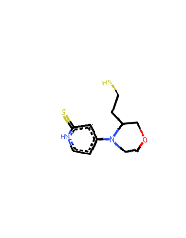 S=c1[c]c(N2CCOCC2CCS)cc[nH]1